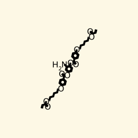 C=CC(=O)OCCCCCCOc1ccc(C(=O)Oc2ccc(OC(=O)c3ccc(OCCCCCCOC(=O)C=C)cc3)c(N)c2)cc1